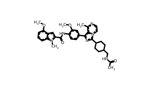 COc1cc(-c2nc(C3CCC(CNC(C)=O)CC3)n3ccnc(C)c23)ccc1NC(=O)c1cc2c(OC)cccc2n1C